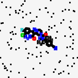 CC(C)(NC(=O)N1CCn2nc(-c3ccc(F)c(Cl)c3)c(C(N)=O)c2C1)c1ccc(C#N)cc1